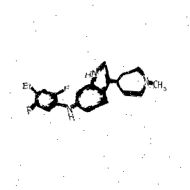 CCc1cc(F)c(Nc2ccc3c(C4CCN(C)CC4)c[nH]c3c2)cc1F